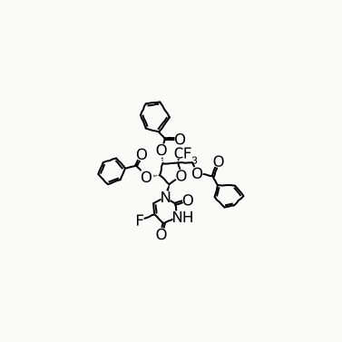 O=C(OC[C@@]1(C(F)(F)F)O[C@@H](n2cc(F)c(=O)[nH]c2=O)[C@H](OC(=O)c2ccccc2)[C@@H]1OC(=O)c1ccccc1)c1ccccc1